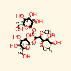 CO[C@@H]([C@H](OC)[C@@H](CO[C@@H]1O[C@H](CO)[C@@H](O)[C@H](O)[C@H]1O)O[C@@H]1O[C@H](CO)[C@@H](O)[C@H](O)[C@H]1O)[C@H](O)CO